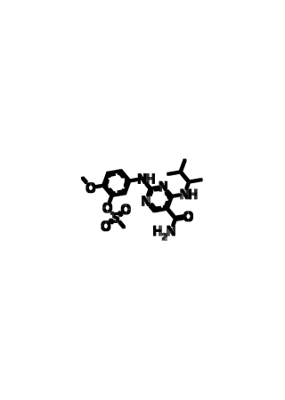 COc1ccc(Nc2ncc(C(N)=O)c(NC(C)C(C)C)n2)cc1OS(C)(=O)=O